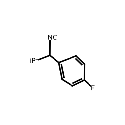 [C-]#[N+]C(c1ccc(F)cc1)C(C)C